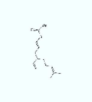 C=CC(CC=COC(=O)CCC)CCC=C(C)C